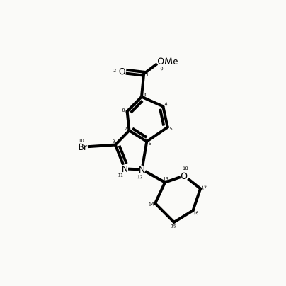 COC(=O)c1ccc2c(c1)c(Br)nn2C1CCCCO1